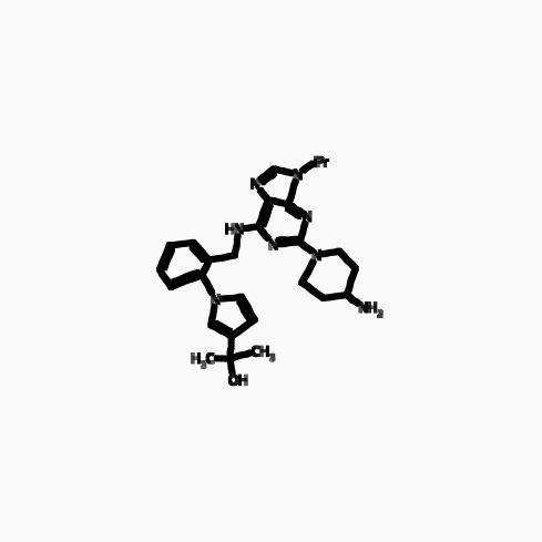 CC(C)n1cnc2c(NCc3ccccc3-n3ccc(C(C)(C)O)c3)nc(N3CCC(N)CC3)nc21